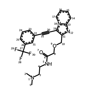 CN(C)CCNC(=O)COCc1nc2ccccn2c1C#Cc1cccc(C(F)(F)F)c1